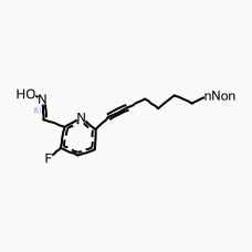 CCCCCCCCCCCCCC#Cc1ccc(F)c(/C=N/O)n1